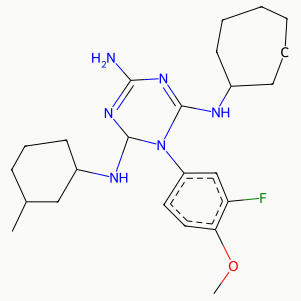 COc1ccc(N2C(NC3CCCCCC3)=NC(N)=NC2NC2CCCC(C)C2)cc1F